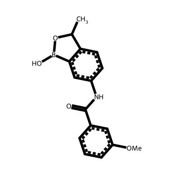 COc1cccc(C(=O)Nc2ccc3c(c2)B(O)OC3C)c1